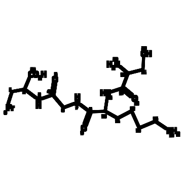 CC(C)CC(NC(=O)CNC(=O)C(CCCCN)NC(=O)C(N)CO)C(=O)O